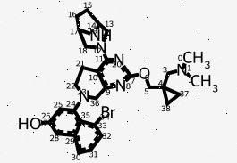 CN(C)CC1(COc2nc3c(c(N4CC5CCC(C4)N5)n2)CCN(c2cc(O)cc4cccc(Br)c24)C3)CC1